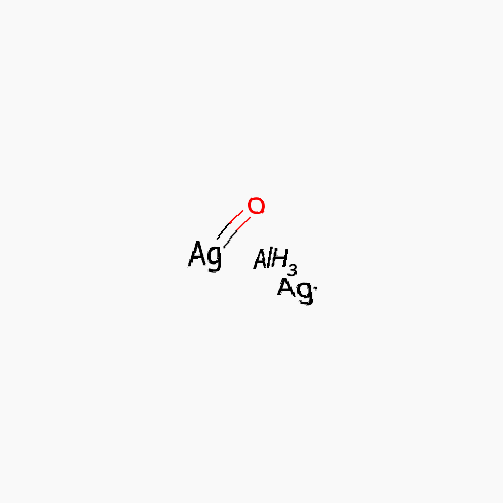 [Ag].[AlH3].[O]=[Ag]